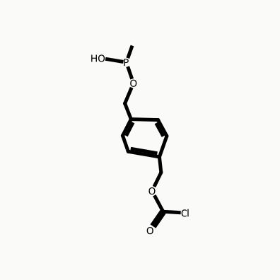 CP(O)OCc1ccc(COC(=O)Cl)cc1